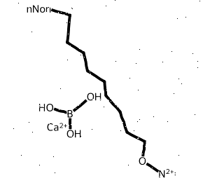 CCCCCCCCCCCCCCCCCCO[N+2].OB(O)O.[Ca+2]